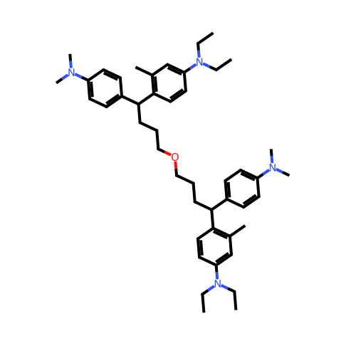 CCN(CC)c1ccc(C(CCCOCCCC(c2ccc(N(C)C)cc2)c2ccc(N(CC)CC)cc2C)c2ccc(N(C)C)cc2)c(C)c1